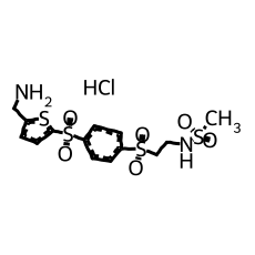 CS(=O)(=O)NCCS(=O)(=O)c1ccc(S(=O)(=O)c2ccc(CN)s2)cc1.Cl